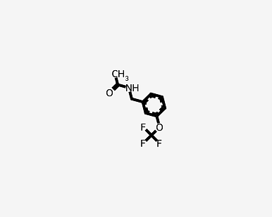 CC(=O)NCc1cccc(OC(F)(F)F)c1